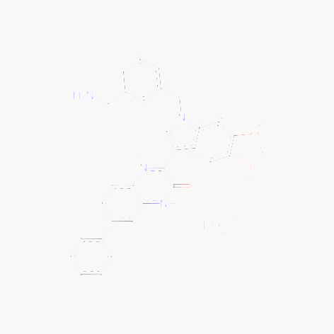 CC(=O)O.NCc1cccc(Cn2cc(-c3nc4ccc(-c5ccccc5)cc4[nH]c3=O)c3cc4c(cc32)OCO4)c1